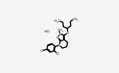 CCCC(CCC)Oc1c2c(nn1C)N(c1ccc(Cl)cc1Cl)CCC2.Cl